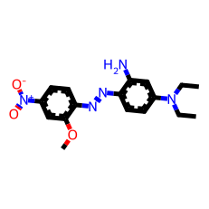 CCN(CC)c1ccc(/N=N/c2ccc([N+](=O)[O-])cc2OC)c(N)c1